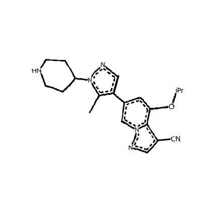 Cc1c(-c2cc(OC(C)C)c3c(C#N)cnn3c2)cnn1C1CCNCC1